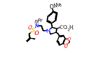 C=C(C)CS(=O)(=O)N(CCC)CCN1CC(c2ccc3c(c2)OCO3)C(C(=O)O)C1c1ccc(OC)cc1